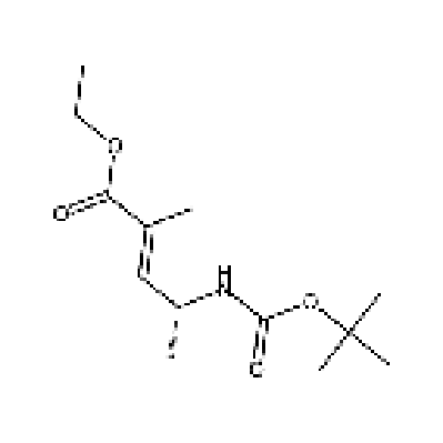 CCOC(=O)/C(C)=C/[C@@H](C)NC(=O)OC(C)(C)C